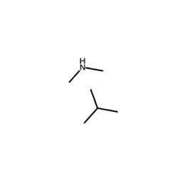 CC(C)C.CNC